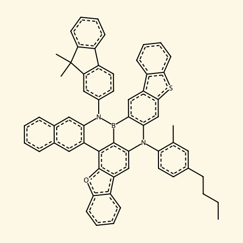 CCCCc1ccc(N2c3cc4sc5ccccc5c4cc3B3c4c2cc2c(oc5ccccc52)c4-c2cc4ccccc4cc2N3c2ccc3c(c2)C(C)(C)c2ccccc2-3)c(C)c1